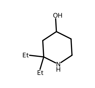 CCC1(CC)CC(O)CCN1